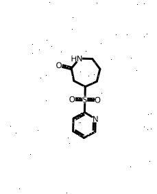 O=C1CC(S(=O)(=O)c2ccccn2)CCCN1